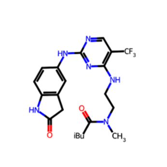 CCC(C)C(=O)N(C)CCNc1nc(Nc2ccc3c(c2)CC(=O)N3)ncc1C(F)(F)F